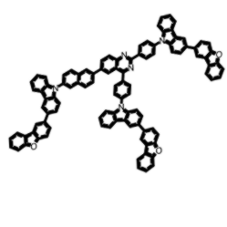 c1ccc2c(c1)oc1ccc(-c3ccc4c(c3)c3ccccc3n4-c3ccc(-c4nc(-c5ccc(-n6c7ccccc7c7cc(-c8ccc9oc%10ccccc%10c9c8)ccc76)cc5)c5cc(-c6ccc7cc(-n8c9ccccc9c9cc(-c%10ccc%11oc%12ccccc%12c%11c%10)ccc98)ccc7c6)ccc5n4)cc3)cc12